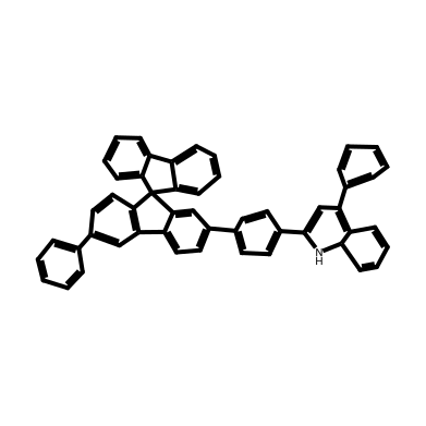 C1=CC2=C(c3ccccc3)C=C(c3ccc(-c4ccc5c(c4)C4(c6ccccc6-c6ccccc64)c4ccc(-c6ccccc6)cc4-5)cc3)NC2C=C1